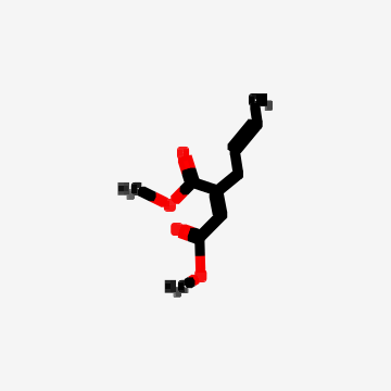 CC=CCC(=CC(=O)OC)C(=O)OC